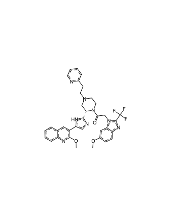 COc1ccc2nc(C(F)(F)F)n(CC(=O)N3CCN(CCc4ccccn4)C[C@H]3c3ncc(-c4cc5ccccc5nc4OC)[nH]3)c2c1